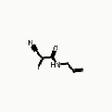 C=CCNC(=O)C(I)C#N